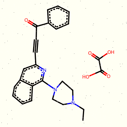 CCN1CCN(c2nc(C#CC(=O)c3ccccc3)cc3ccccc23)CC1.O=C(O)C(=O)O